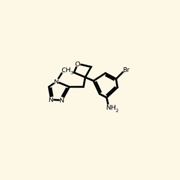 Cn1cnnc1CC1(c2cc(N)cc(Br)c2)COC1